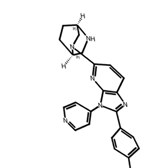 Fc1ccc(-c2nc3ccc(N4C[C@H]5CC[C@@H]4CN5)nc3n2-c2ccncc2)cc1